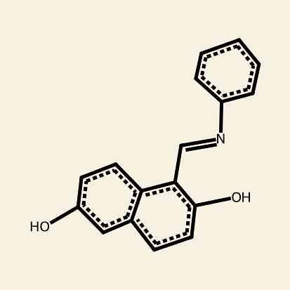 Oc1ccc2c(/C=N/c3ccccc3)c(O)ccc2c1